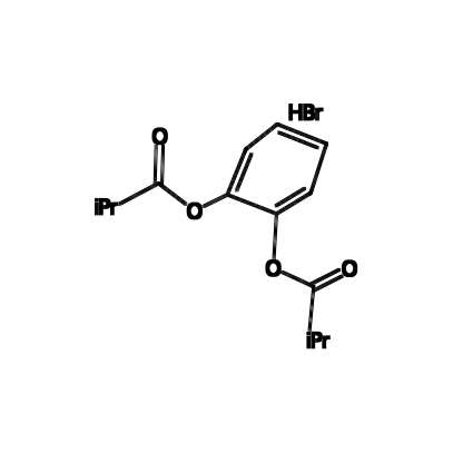 Br.CC(C)C(=O)Oc1ccccc1OC(=O)C(C)C